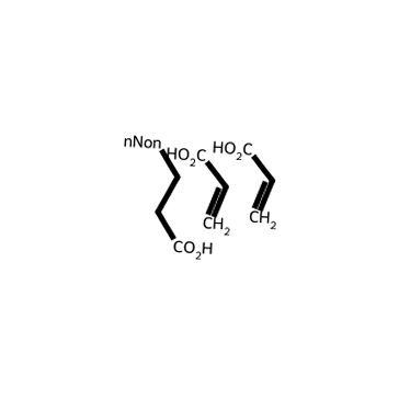 C=CC(=O)O.C=CC(=O)O.CCCCCCCCCCCC(=O)O